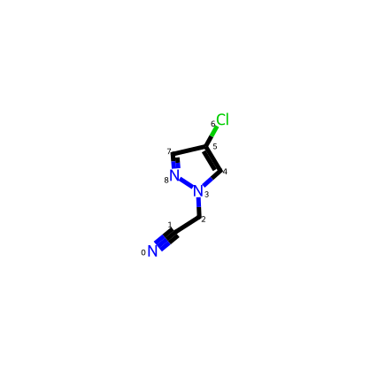 N#CCn1cc(Cl)cn1